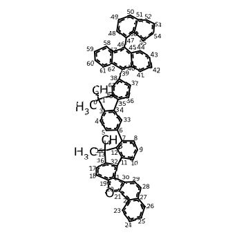 CC1(C)c2ccc(-c3cccc4c3C(C)(C)c3ccc5oc6c7ccccc7ccc6c5c3-4)cc2-c2ccc(-c3c4ccccc4c(-c4cccc5ccccc45)c4ccccc34)cc21